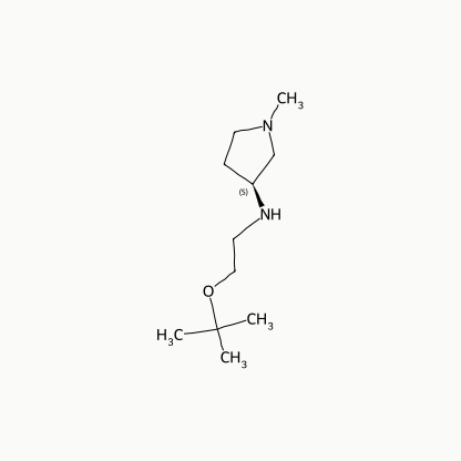 CN1CC[C@H](NCCOC(C)(C)C)C1